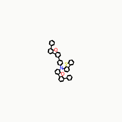 c1ccc(-c2cccc3c2oc2ccc(-c4ccc(N(c5cccc6c5oc5c(-c7ccccc7)cccc56)c5cccc6c5sc5ccccc56)cc4)cc23)cc1